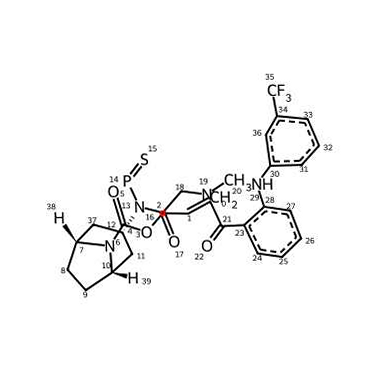 C=CCOC(=O)N1[C@@H]2CC[C@H]1C[C@@H](N(P=S)C(=O)CN(C)C(=O)c1ccccc1Nc1cccc(C(F)(F)F)c1)C2